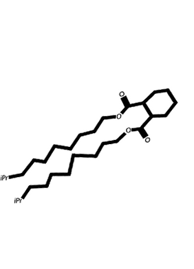 CC(C)CCCCCCCCOC(=O)C1CCCCC1C(=O)OCCCCCCCCC(C)C